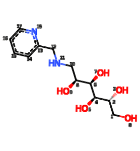 OC[C@@H](O)[C@@H](O)[C@H](O)[C@@H](O)CNCc1ccccn1